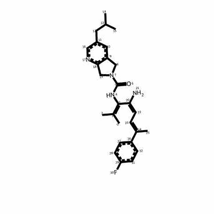 CC(C)=C(NC(=O)N1Cc2cc(CC(C)C)cnc2C1)/C(N)=C\C=C(/C)c1ccc(F)cc1